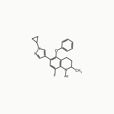 CC(=O)N1c2c(F)cc(-c3cnn(C4CC4)c3)c(Oc3ccccc3)c2CCC1C